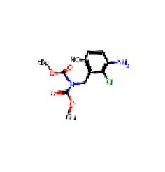 CC(C)(C)OC(=O)N(Cc1c(C#N)ccc(N)c1Cl)C(=O)OC(C)(C)C